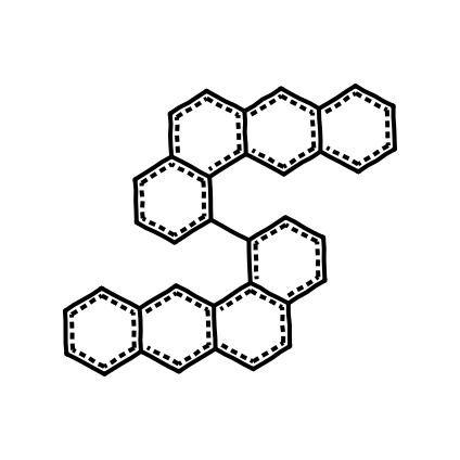 c1ccc2cc3c(ccc4cccc(-c5cccc6ccc7cc8ccccc8cc7c56)c43)cc2c1